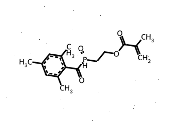 C=C(C)C(=O)OCC[PH](=O)C(=O)c1c(C)cc(C)cc1C